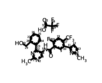 Cc1ncc(NC(=O)c2cc(-c3ccn(C)n3)c(C(F)(F)F)cc2F)c(-c2ccccc2CO)n1.O=C(O)C(F)(F)F